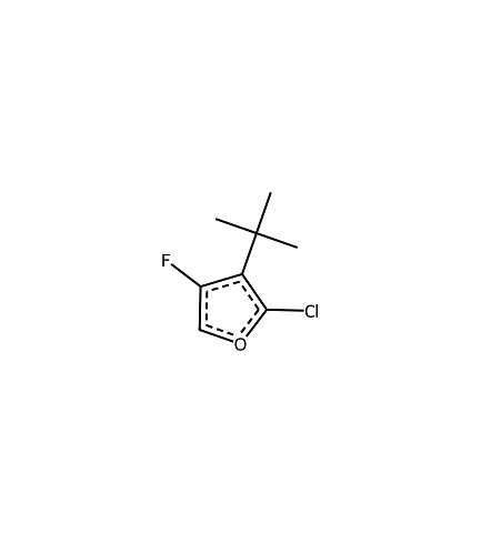 CC(C)(C)c1c(F)coc1Cl